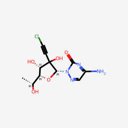 C[C@@H](O)[C@H]1O[C@@H](n2ncc(N)nc2=O)C(O)(C#CCl)[C@H]1O